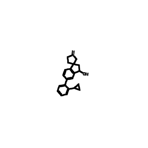 OC1CC2(CCNC2)c2ccc(-c3ccccc3C3CC3)cc21